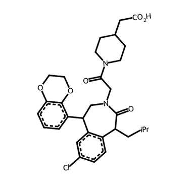 CC(C)CC1C(=O)N(CC(=O)N2CCC(CC(=O)O)CC2)CC(c2cccc3c2OCCO3)c2cc(Cl)ccc21